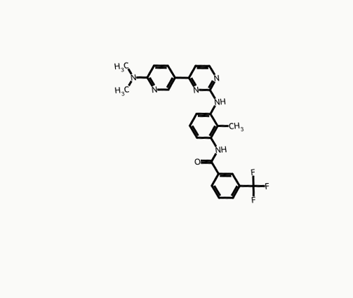 Cc1c(NC(=O)c2cccc(C(F)(F)F)c2)cccc1Nc1nccc(-c2ccc(N(C)C)nc2)n1